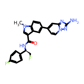 Cn1cc(C(=O)N[C@@H](CF)c2ccc(F)cc2)c2cc(-c3ccn4nc(N)nc4c3)ccc21